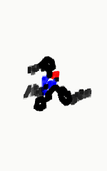 COc1ccc(C2C(=Cc3ccccc3)N(C(=O)O)C(=NC(=O)c3cccc(C(F)(F)F)c3)N2C)cc1